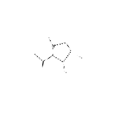 CC(C)C1[C@@H](C)[C@@H](C)CN1C